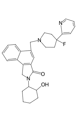 O=C1c2cc(CN3CCC(F)(c4ccccn4)CC3)c3ccccc3c2CN1C1CCCCC1O